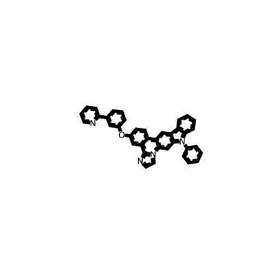 c1ccc(-n2c3ccccc3c3cc4c5ccc(Oc6cccc(-c7ccccn7)c6)cc5c5nccn5c4cc32)cc1